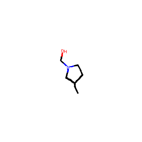 CC1CCN(CO)C1